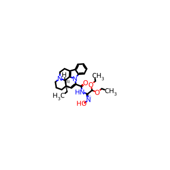 CCOC(OCC)/C(=N/O)NC(=O)C1=C[C@]2(CC)CCCN3CCc4c(n1c1ccccc41)[C@@H]32